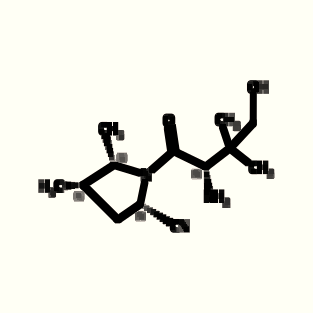 C[C@H]1C[C@@H](C#N)N(C(=O)[C@@H](N)C(C)(C)CO)[C@H]1C